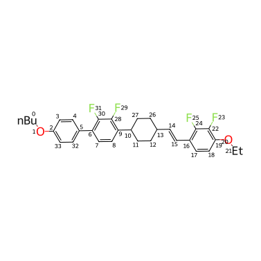 CCCCOc1ccc(-c2ccc(C3CCC(/C=C/c4ccc(OCC)c(F)c4F)CC3)c(F)c2F)cc1